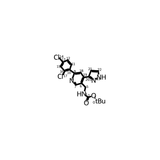 CC(C)(C)OC(=O)NCc1cnc(-c2ccc(Cl)cc2Cl)cc1-c1cc[nH]n1